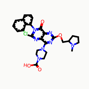 Cc1nc2c(N3CCN(C(=O)O)CC3)nc(OCC3CCCN3C)nc2c(=O)n1-c1cccc2cccc(Cl)c12